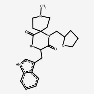 CN1CCC2(CC1)C(=O)NC(Cc1c[nH]c3ccccc13)C(=O)N2CC1CCCO1